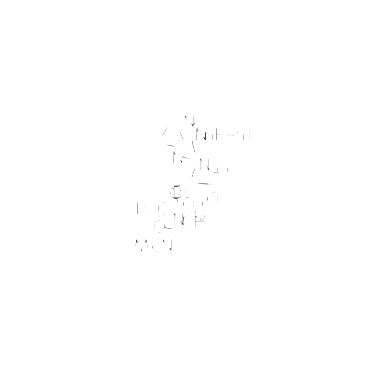 CCCCCN1C=Nc2cccc3nc4c(c1c23)Cn1c-4cc2c(c1=O)COC(=O)[C@@]2(CC)OC(=O)[C@H](C)N(C)C(=O)CNC